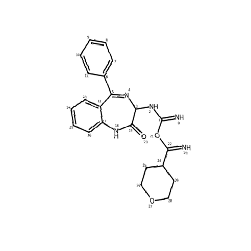 N=C(NC1N=C(c2ccccc2)c2ccccc2NC1=O)OC(=N)C1CCOCC1